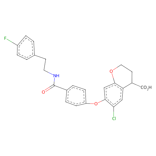 O=C(NCCc1ccc(F)cc1)c1ccc(Oc2cc3c(cc2Cl)C(C(=O)O)CCO3)cc1